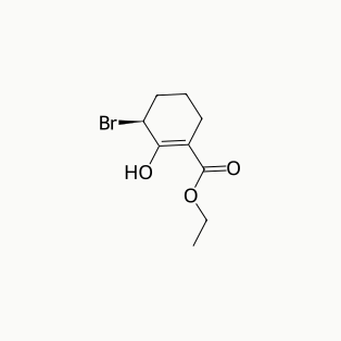 CCOC(=O)C1=C(O)[C@@H](Br)CCC1